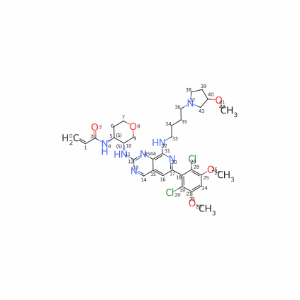 C=CC(=O)N[C@H]1CCOC[C@H]1Nc1ncc2cc(-c3c(Cl)c(OC)cc(OC)c3Cl)nc(NCCCCN3CCC(OC)C3)c2n1